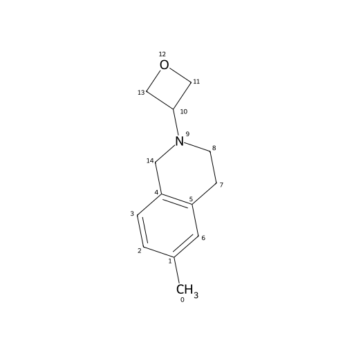 Cc1ccc2c(c1)CCN(C1COC1)C2